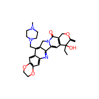 C=C1OCc2c(cc3n(c2=O)Cc2c-3nc3cc4c(cc3c2CN2CCN(C)CC2)OCCO4)C1(O)CC